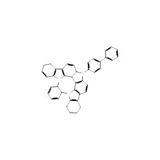 C1=CC2C(C=C1)n1c3c(c4ccc5c(c41)C1c4c(c6c(n42)C=CCC6)C=CC1N5c1ccc(-c2ccccc2)cc1)CCCC3